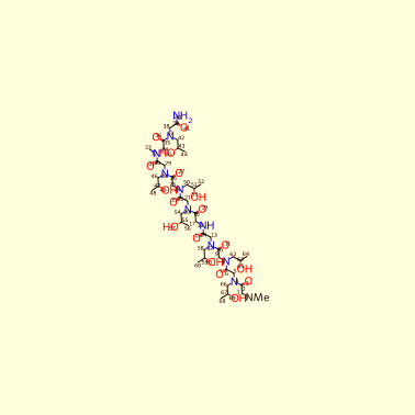 CNCC(=O)N(CC(=O)N(CC(=O)N(CC(=O)NCC(=O)N(CC(=O)N(CC(=O)N(CC(=O)N(C)CC(=O)N(CC(N)=O)CC(C)O)CC(C)O)CC(C)O)CC(C)O)CC(C)O)CC(C)O)CC(C)O